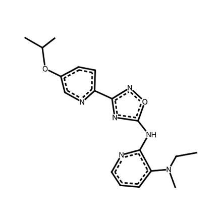 CCN(C)c1cccnc1Nc1nc(-c2ccc(OC(C)C)cn2)no1